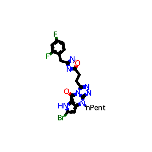 CCCCCn1c2cc(Br)[nH]c2c(=O)n2c(CCc3nc(Cc4ccc(F)cc4F)no3)nnc12